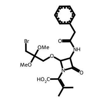 COC(CBr)(COC1C(NC(=O)Cc2ccccc2)C(=O)N1C(C(=O)O)=C(C)C)OC